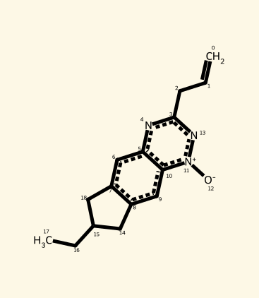 C=CCc1nc2cc3c(cc2[n+]([O-])n1)CC(CC)C3